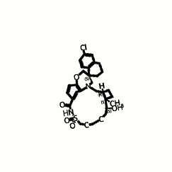 C[C@]12CC[C@H]1CN1C[C@@]3(CCCc4cc(Cl)ccc43)COc3ccc(cc31)C(=O)NS(=O)(=O)CCCCC[C@@H]2O